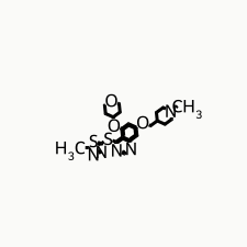 Cc1nnc(Sc2ncnc3cc(OCC4CCN(C)CC4)cc(OC4CCOCC4)c23)s1